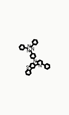 c1ccc(-c2ccc3c(n2)c2cc4c(cc2n3-c2ccc(-c3nc(-c5ccccc5)nc(-c5ccccc5)n3)cc2)sc2ccccc24)cc1